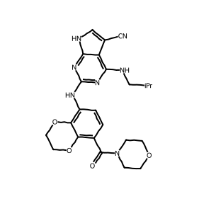 CC(C)CNc1nc(Nc2ccc(C(=O)N3CCOCC3)c3c2OCCO3)nc2[nH]cc(C#N)c12